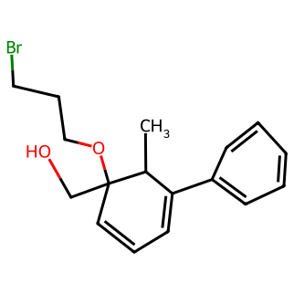 CC1C(c2ccccc2)=CC=CC1(CO)OCCCBr